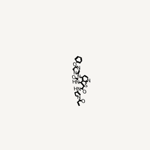 C=CC(=O)N1C=C(NC(=O)c2sc3nccc4c3c2NC(=O)N4c2cnc(Oc3ccccc3)cn2)CC1